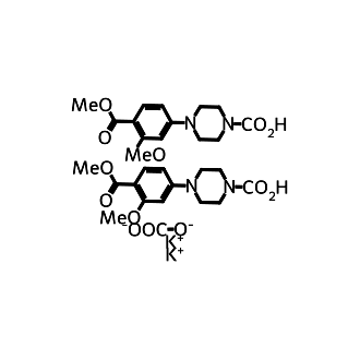 COC(=O)c1ccc(N2CCN(C(=O)O)CC2)cc1OC.COC(=O)c1ccc(N2CCN(C(=O)O)CC2)cc1OC.O=C([O-])[O-].[K+].[K+]